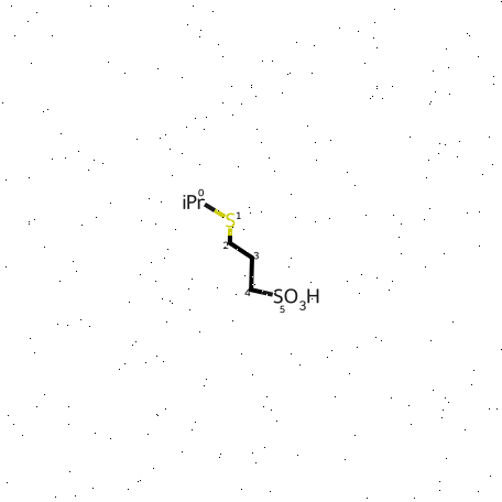 CC(C)SCCCS(=O)(=O)O